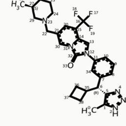 Cc1[nH]nnc1[C@@H](c1cccc(-n2cc3c(C(F)(F)F)cc(CN4CCC[C@H](C)C4)cn3c2=O)c1)C1CCC1